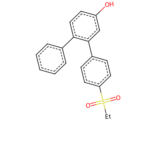 CCS(=O)(=O)c1ccc(-c2cc(O)ccc2-c2ccccc2)cc1